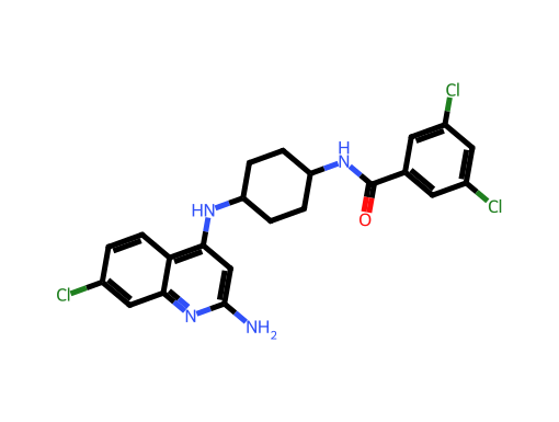 Nc1cc(NC2CCC(NC(=O)c3cc(Cl)cc(Cl)c3)CC2)c2ccc(Cl)cc2n1